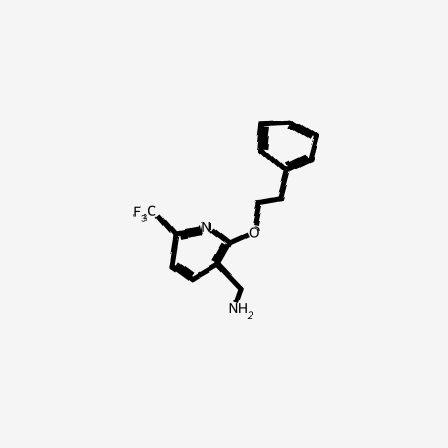 NCc1ccc(C(F)(F)F)nc1OCCc1ccccc1